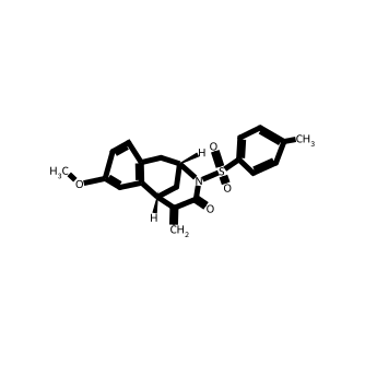 C=C1C(=O)N(S(=O)(=O)c2ccc(C)cc2)[C@H]2Cc3ccc(OC)cc3[C@@H]1C2